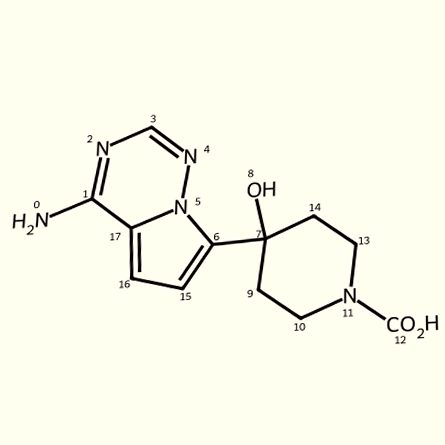 Nc1ncnn2c(C3(O)CCN(C(=O)O)CC3)ccc12